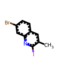 Cc1cc2ccc(Br)cc2nc1I